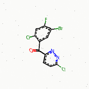 O=C(c1ccc(Cl)nn1)c1cc(Br)c(F)cc1Cl